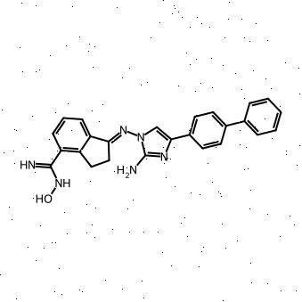 N=C(NO)c1cccc2c1CCC2=Nn1cc(-c2ccc(-c3ccccc3)cc2)nc1N